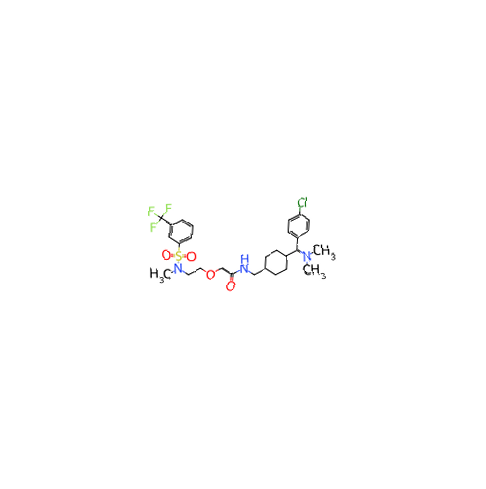 CN(C)C(c1ccc(Cl)cc1)C1CCC(CNC(=O)COCCN(C)S(=O)(=O)c2cccc(C(F)(F)F)c2)CC1